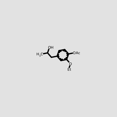 CCOc1cc(CC(C)O)ccc1OC(C)=O